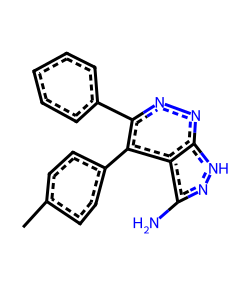 Cc1ccc(-c2c(-c3ccccc3)nnc3[nH]nc(N)c23)cc1